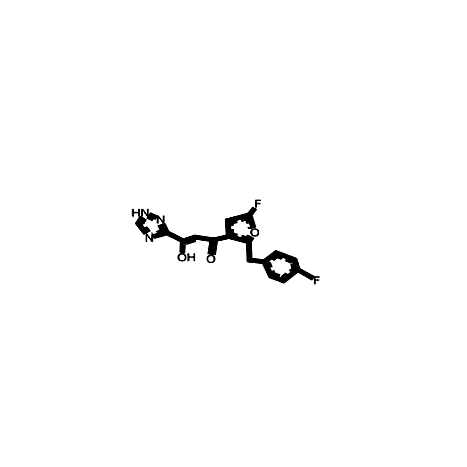 O=C(C=C(O)c1nc[nH]n1)c1cc(F)oc1Cc1ccc(F)cc1